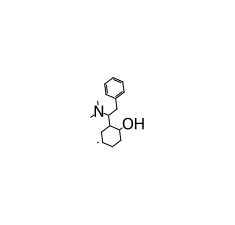 CN(C)C(Cc1ccccc1)C1C[CH]CCC1O